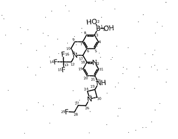 OB(O)c1ccc2c(c1)CCN(CC(F)(F)F)C2c1ccc(NC2CN(CCCF)C2)cn1